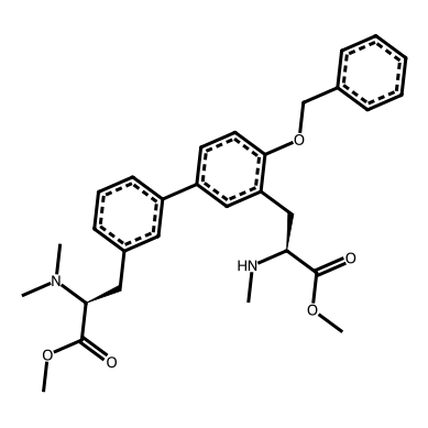 CN[C@@H](Cc1cc(-c2cccc(C[C@@H](C(=O)OC)N(C)C)c2)ccc1OCc1ccccc1)C(=O)OC